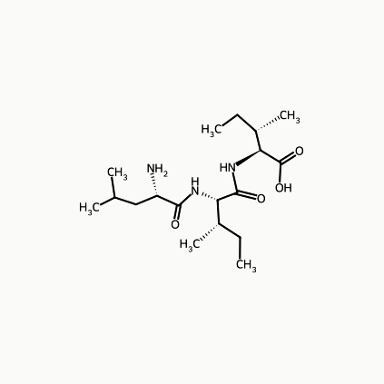 CC[C@H](C)[C@H](NC(=O)[C@@H](NC(=O)[C@@H](N)CC(C)C)[C@@H](C)CC)C(=O)O